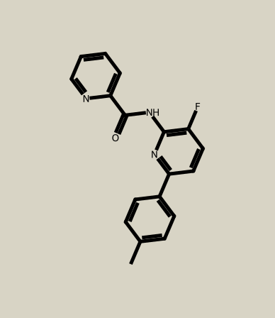 Cc1ccc(-c2ccc(F)c(NC(=O)c3ccccn3)n2)cc1